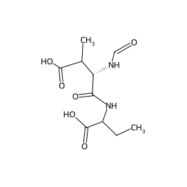 CCC(NC(=O)[C@@H](NC=O)C(C)C(=O)O)C(=O)O